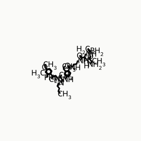 BC(=C)NCC(NC(=O)C(C)N)C(=O)NCCCNC(=O)c1ccc(NC(=N/C=C\CCC)/C(C)=N/C=C(\C)c2ccc(OC)c(C)c2P)cc1CC